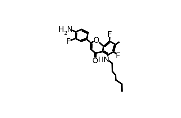 CCCCCCNc1c(F)c(C)c(F)c2oc(-c3ccc(N)c(F)c3)cc(=O)c12